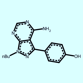 CCCCn1nc(-c2ccc(O)cc2)c2c(N)ncnc21